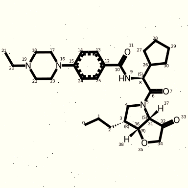 CCC[C@@H]1CN(C(=O)[C@@H](NC(=O)c2ccc(N3CCN(CC)CC3)cc2)C2CCCC2)[C@@H]2C(=O)CO[C@H]12